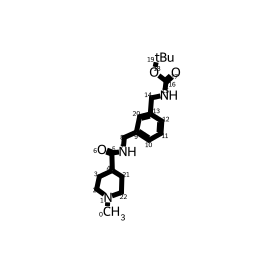 CN1CCC(C(=O)NCc2cccc(CNC(=O)OC(C)(C)C)c2)CC1